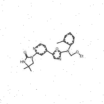 CCOCN(c1ncc(-c2ccnc(N3CC(C)(C)NC3=O)c2)o1)c1ccccc1C